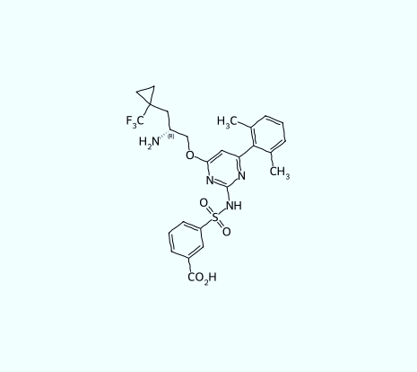 Cc1cccc(C)c1-c1cc(OC[C@H](N)CC2(C(F)(F)F)CC2)nc(NS(=O)(=O)c2cccc(C(=O)O)c2)n1